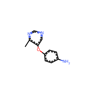 Cc1ncncc1Oc1ccc(N)cc1